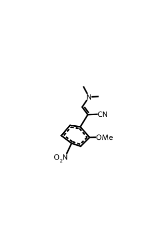 COc1cc([N+](=O)[O-])ccc1/C(C#N)=C/N(C)C